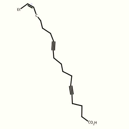 CC/C=C\CCCCC#CCCCCC#CCCCC(=O)O